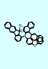 CC1(C)c2cc3ccccc3cc2-c2cccc(N(c3ccc4oc5ccccc5c4c3)c3ccc4ccccc4c3-c3ccc4ccccc4c3)c21